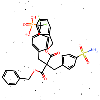 NS(=O)(=O)c1ccc(CC(Cc2ccc(C(F)(F)P(=O)(O)O)cc2)(C(=O)OCc2ccccc2)C(=O)OCc2ccccc2)cc1